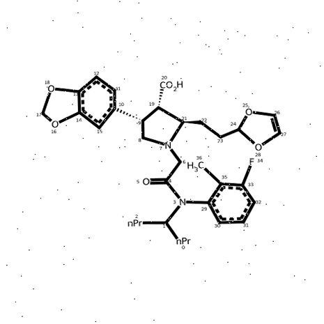 CCCC(CCC)N(C(=O)CN1C[C@H](c2ccc3c(c2)OCO3)[C@H](C(=O)O)[C@H]1CCC1OC=CO1)c1cccc(F)c1C